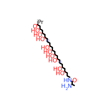 CC(C)C(=O)CC(O)CC(O)CC(O)/C=C/CC(O)CC(O)CC(O)CC(O)/C=C/CC(O)CC(O)CCCNC(=O)C(C)N